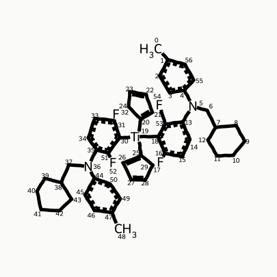 Cc1ccc(N(CC2CCCCC2)c2ccc(F)[c]([Ti]([C]3=CC=CC3)([C]3=CC=CC3)[c]3c(F)ccc(N(CC4CCCCC4)c4ccc(C)cc4)c3F)c2F)cc1